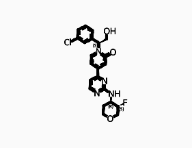 O=c1cc(-c2ccnc(N[C@@H]3CCOC[C@H]3F)n2)ccn1[C@H](CO)c1cccc(Cl)c1